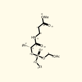 CCOP(=O)(OCOC(C)=O)O[C@@H](C(=O)NCCC(=O)OC)C(C)C